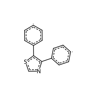 [c]1ccc(-c2ncsc2-c2cc[c]cc2)cc1